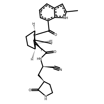 Cc1cc2cccc(C(=O)N3[C@@H]4CC[C@H]([C@@H]3C(=O)N[C@@H](C#N)C[C@H]3CCNC3=O)C(F)(F)C4)c2[nH]1